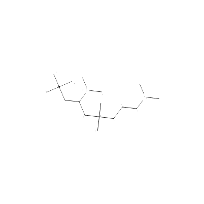 CN(C)CCCC(C)(C)CC(CC(C)(C)C)N(C)C